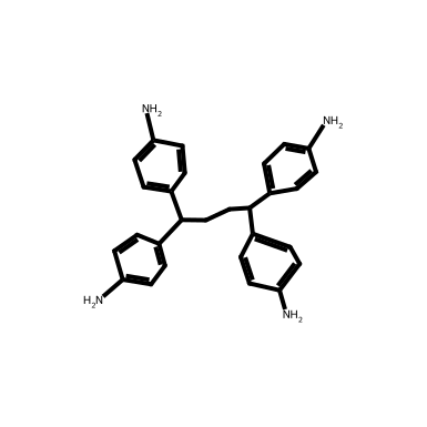 Nc1ccc(C(CCC(c2ccc(N)cc2)c2ccc(N)cc2)c2ccc(N)cc2)cc1